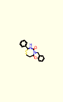 O=C1CCSC(c2ccccc2)NC(=O)N1Cc1ccccc1